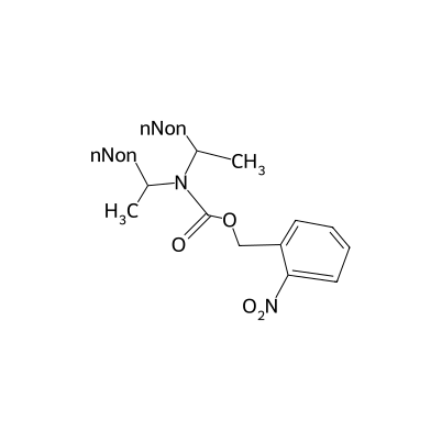 CCCCCCCCCC(C)N(C(=O)OCc1ccccc1[N+](=O)[O-])C(C)CCCCCCCCC